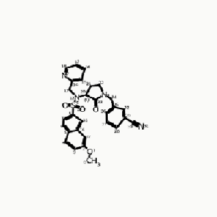 COc1ccc2ccc(S(=O)(=O)N(Cc3ccccn3)[C@H]3CCN(Cc4cccc(C#N)c4)C3=O)cc2c1